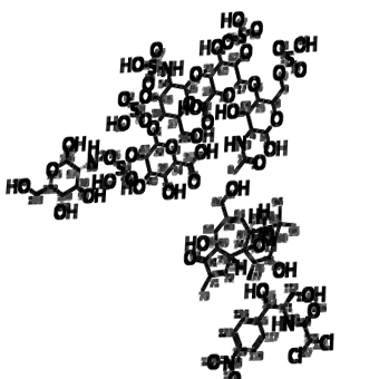 CC(=O)NC1C(O)OC(COS(=O)(=O)O)C(OC2OC(C(=O)O)C(OC3OC(CO)C(OC4OC(C(=O)O)C(O)C(O)C4OS(=O)(=O)O)C(OS(=O)(=O)O)C3NS(=O)(=O)O)C(O)C2OS(=O)(=O)O)C1O.CC1=C[C@H]2[C@@]3(O)[C@H](C)[C@@H](O)[C@]4(O)[C@H]([C@@H]3C=C(CO)C[C@]2(O)C1=O)C4(C)C.N[C@@H]1[C@@H](O)[C@H](O)[C@@H](CO)O[C@H]1O.O=C(N[C@H](CO)[C@H](O)c1ccc([N+](=O)[O-])cc1)C(Cl)Cl